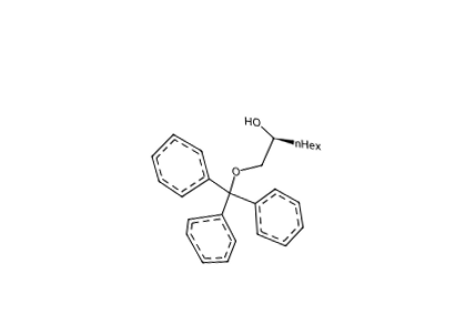 CCCCCC[C@H](O)COC(c1ccccc1)(c1ccccc1)c1ccccc1